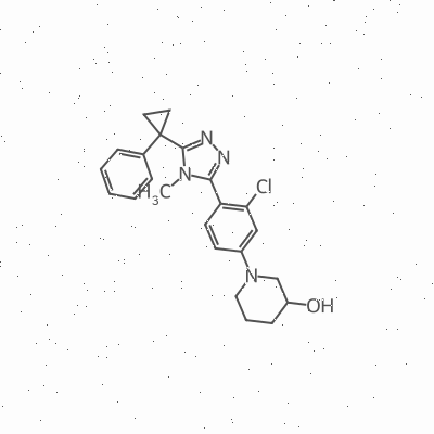 Cn1c(-c2ccc(N3CCCC(O)C3)cc2Cl)nnc1C1(c2ccccc2)CC1